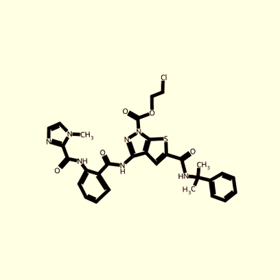 Cn1ccnc1C(=O)Nc1ccccc1C(=O)Nc1nn(C(=O)OCCCl)c2sc(C(=O)NC(C)(C)c3ccccc3)cc12